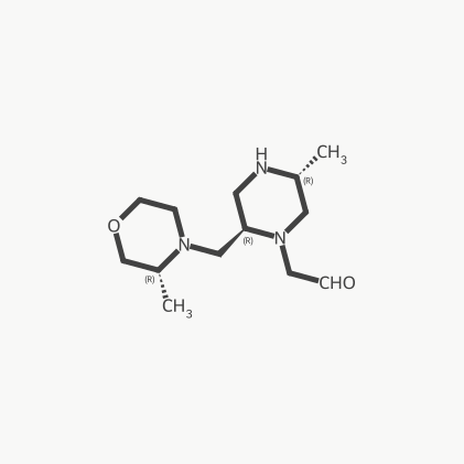 C[C@@H]1CN(CC=O)[C@@H](CN2CCOC[C@H]2C)CN1